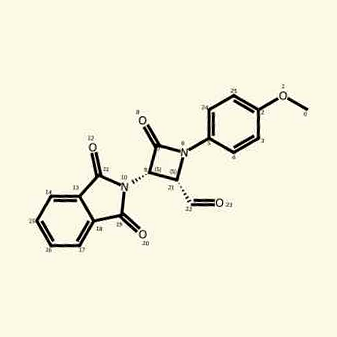 COc1ccc(N2C(=O)[C@@H](N3C(=O)c4ccccc4C3=O)[C@H]2C=O)cc1